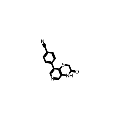 N#Cc1ccc(-c2cncc3c2SCC(=O)N3)cc1